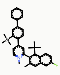 Cc1cc2cc(F)ccc2c(C(C)(C)C)c1-c1cc(-c2ccc(-c3ccccc3)cc2[Si](C)(C)C)cc[n+]1C